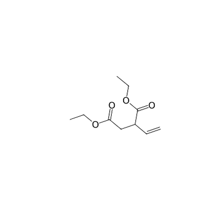 C=CC(CC(=O)OCC)C(=O)OCC